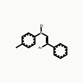 CCN(/C=C(\C(C)=O)c1ccccc1)c1ccc(C)cc1